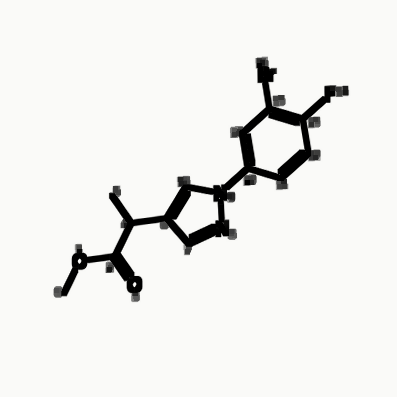 COC(=O)C(C)c1cnn(-c2ccc(F)c(Br)c2)c1